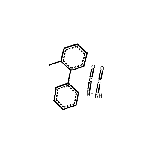 Cc1ccccc1-c1ccccc1.N=C=O.N=C=O